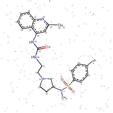 CCCc1ccc(S(=O)(=O)N(C)C2CCN(CCNC(=O)Nc3cc(C)nc4ccccc34)C2)cc1